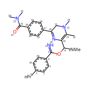 CCCc1ccc(C(=N)OC(NC)C2=C(C)N(C)CC(c3ccc(C(=O)N(C)C)cc3)=N2)cc1